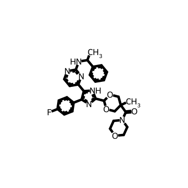 CC(Nc1nccc(-c2[nH]c(C3OCC(C)(C(=O)N4CCOCC4)CO3)nc2-c2ccc(F)cc2)n1)c1ccccc1